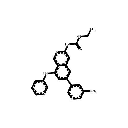 CCNC(=O)Nc1cc2cc(-c3cncc(C)c3)cc(Nc3cccnc3)c2cn1